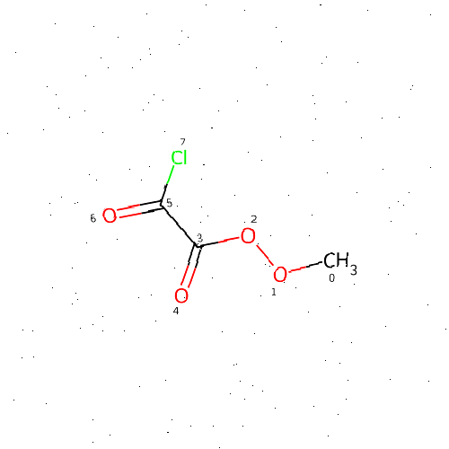 COOC(=O)C(=O)Cl